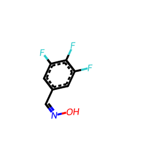 O/N=C\c1cc(F)c(F)c(F)c1